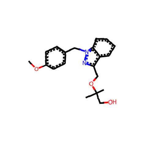 COc1ccc(Cn2nc(COC(C)(C)CO)c3ccccc32)cc1